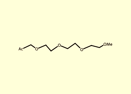 COCCOCCOCCOCC(C)=O